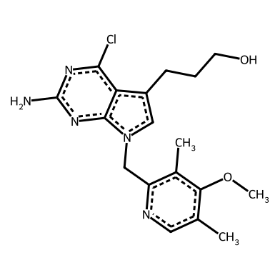 COc1c(C)cnc(Cn2cc(CCCO)c3c(Cl)nc(N)nc32)c1C